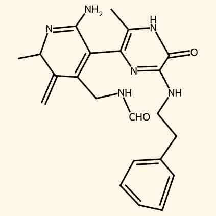 C=C1C(CNC=O)=C(c2nc(NCCc3ccccc3)c(=O)[nH]c2C)C(N)=NC1C